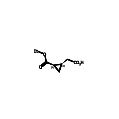 CCOC(=O)[C@@H]1C[C@H]1CC(=O)O